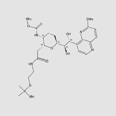 COc1ccc2nccc([C@@H](O)[C@@H](O)[C@@H]3CC[C@@H](NC(=O)OC(C)(C)C)[C@@H](CC(=O)NCCO[Si](C)(C)C(C)(C)C)O3)c2n1